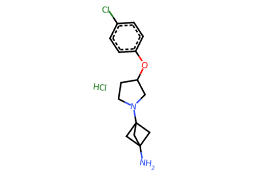 Cl.NC12CC(N3CCC(Oc4ccc(Cl)cc4)C3)(C1)C2